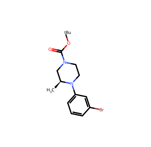 C[C@H]1CN(C(=O)OC(C)(C)C)CCN1c1cccc(Br)c1